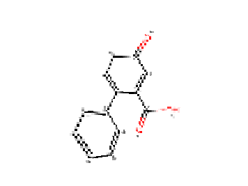 O=C1C=C(C(=O)O)C(c2ccccc2)=CC1